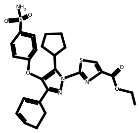 CCOC(=O)c1csc(-n2nc(C3=CC=CCC3)c(OC3=C=C=C(S(N)(=O)=O)C=C3)c2C2CCCC2)n1